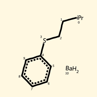 CC(C)CCSc1ccccc1.[BaH2]